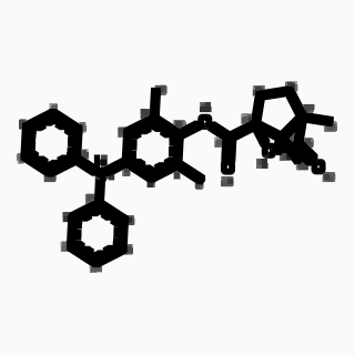 Cc1cc([SH](c2ccccc2)c2ccccc2)cc(C)c1OC(=O)C12CCC(C)(C(=O)O1)C2(C)C